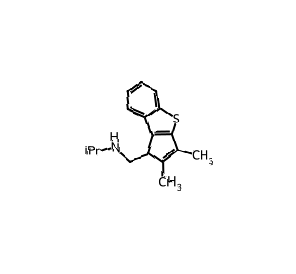 CC1=C(C)C(CNC(C)C)c2c1sc1ccccc21